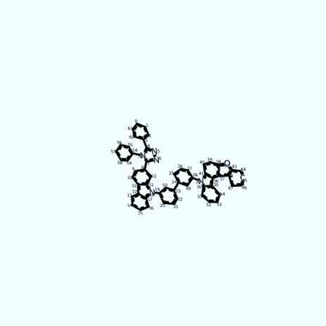 c1ccc(-c2nnc(-c3ccc4c5ccccc5n(-c5cccc(-c6cccc(-n7c8ccccc8c8c9c(ccc87)oc7ccccc79)c6)c5)c4c3)n2-c2ccccc2)cc1